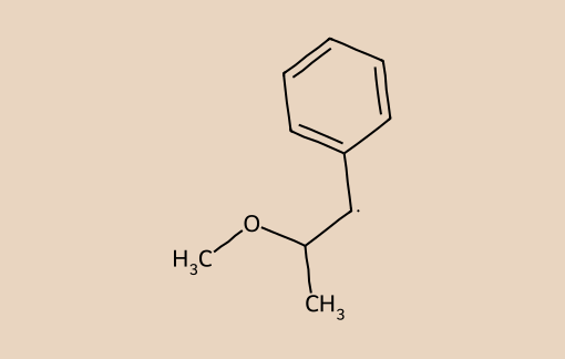 COC(C)[CH]c1ccccc1